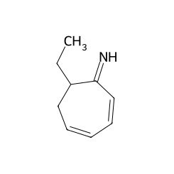 CCC1CC=CC=CC1=N